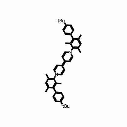 Cc1cc(C)c(N2C=CC(=C3C=CN(c4c(C)cc(C)c(-c5ccc(C(C)(C)C)cc5)c4C)C=C3)C=C2)c(C)c1-c1ccc(C(C)(C)C)cc1